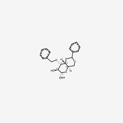 CO[C@H]1O[C@@H]2COC(c3ccccc3)O[C@H]2[C@@H](OCc2ccccc2)[C@@H]1O